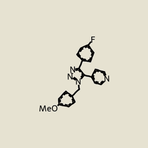 COc1ccc(Cn2nnc(-c3ccc(F)cc3)c2-c2ccncc2)cc1